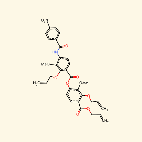 C=CCOC(=O)c1ccc(OC(=O)c2ccc(NC(=O)c3ccc([N+](=O)[O-])cc3)c(OC)c2OCC=C)c(OC)c1OCC=C